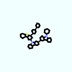 c1ccc(-c2ccc(-c3cc(-n4c5ccccc5c5ccc(-c6ccc7c(c6)c6ccccc6n7-c6ccccc6)cc54)cc4c3sc3ccccc34)cc2)cc1